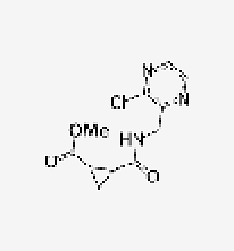 COC(=O)C1CC1C(=O)NCc1nccnc1Cl